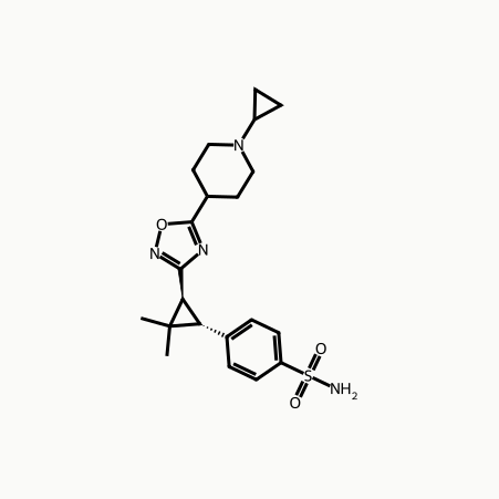 CC1(C)[C@@H](c2ccc(S(N)(=O)=O)cc2)[C@@H]1c1noc(C2CCN(C3CC3)CC2)n1